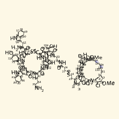 COc1cc2cc(c1Cl)N(C)C(=O)C[C@H](OC(=O)[C@H](C)N(C)C(=O)CCSSCCC(=O)NCCNC(=O)[C@@H](NC(=O)[C@@H]1CSSC[C@H](NC(=O)[C@H](N)Cc3c[nH]c4ccccc34)C(=O)N[C@@H](Cc3ccc(O)cc3)C(=O)N[C@H](Cc3c[nH]c4ccccc34)C(=O)N[C@@H](CCCCN)C(=O)NC([C@@H](C)O)C(=O)N1)[C@@H](C)O)[C@]1(C)O[C@H]1[C@H](C)[C@@H]1CC(O)(NC(=O)O1)[C@H](OC)/C=C/C=C(\C)C2